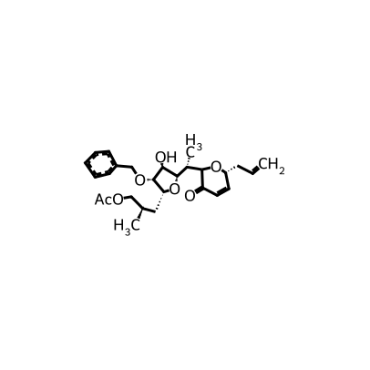 C=CC[C@@H]1C=CC(=O)C([C@@H](C)[C@@H]2O[C@H](C[C@@H](C)COC(C)=O)[C@H](OCc3ccccc3)[C@H]2O)O1